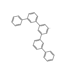 [c]1cc(-c2cccc(-c3ccccc3)c2)cc(-c2cccc(-c3ccccc3)c2)c1